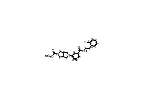 CC(C)(C)OC(=O)N1CC2CN(c3cncc(C(=O)NCCc4ccccc4F)c3)CC2C1